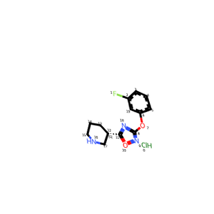 Cl.Fc1cccc(Oc2noc([C@H]3CCCNC3)n2)c1